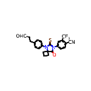 N#Cc1ccc(N2C(=O)C3(CCC3)N(c3ccc(CCC=O)cc3)C2=S)cc1C(F)(F)F